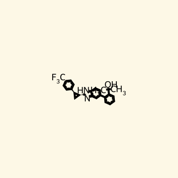 CC(C)(O)c1ccccc1-c1ccc2[nH]c([C@@H]3C[C@H]3c3ccc(C(F)(F)F)cc3)nc2c1